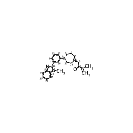 CN(C)C(=O)CN1CCCN(c2cccc(-c3nc4ccccc4n3C)c2)CC1